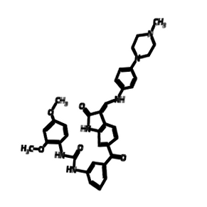 COc1ccc(NC(=O)Nc2cccc(C(=O)c3ccc4c(c3)NC(=O)/C4=C/Nc3ccc(N4CCN(C)CC4)cc3)c2)c(OC)c1